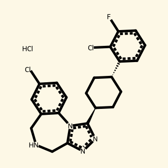 Cl.Fc1cccc([C@H]2CC[C@H](c3nnc4n3-c3ccc(Cl)cc3CNC4)CC2)c1Cl